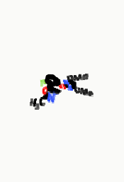 COc1cc(OC)nc(Oc2cccc(F)c2-c2cnc(C)o2)n1